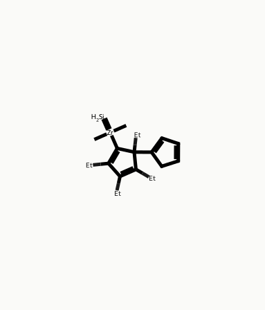 CCC1=C(CC)C(CC)(C2=CC=CC2)[C]([Zr]([CH3])([CH3])=[SiH2])=C1CC